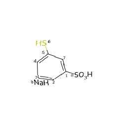 O=S(=O)(O)c1cccc(S)c1.[NaH]